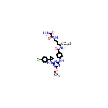 CCOC(=O)[C@H](CCCNC(=O)C(N)=O)NC(=O)c1ccc(Nc2nc(NC3(c4ccc(Cl)cc4)CC3)nc(OCC(F)(F)F)n2)cc1